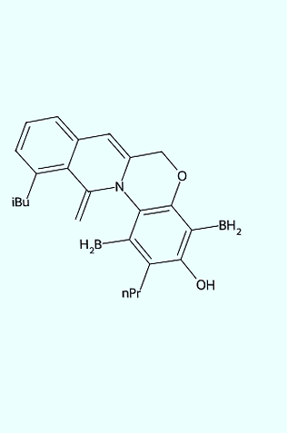 Bc1c(O)c(CCC)c(B)c2c1OCC1=Cc3cccc(C(C)CC)c3C(=C)N12